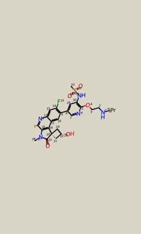 CC(C)NCCOc1ncc(-c2cc3c(cc2F)ncc2c3[C@]3(C[C@@H](O)C3)C(=O)N2C)cc1NS(C)(=O)=O